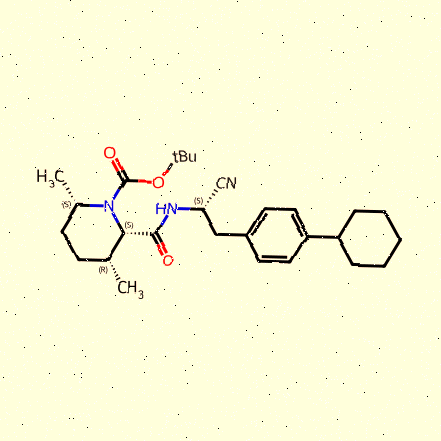 C[C@@H]1CC[C@H](C)N(C(=O)OC(C)(C)C)[C@@H]1C(=O)N[C@H](C#N)Cc1ccc(C2CCCCC2)cc1